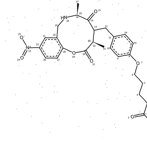 CC(=O)CCCCOc1ccc(CC2C(=O)[C@H](C)NCc3cc([N+](=O)[O-])ccc3OC(=O)[C@@H]2C)cc1